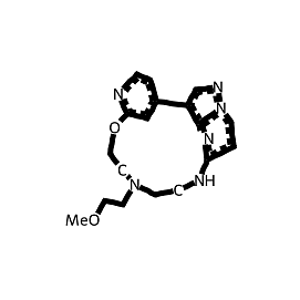 COCCN1CCNc2ccn3ncc(c3n2)-c2ccnc(c2)OCC1